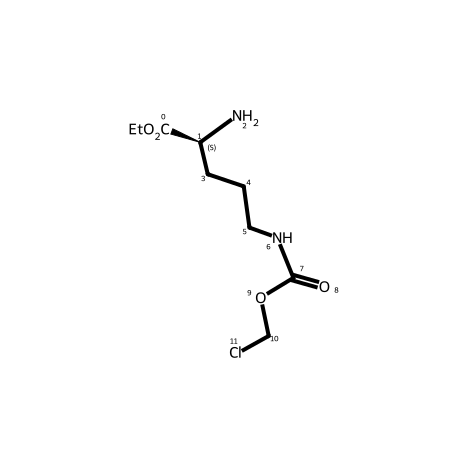 CCOC(=O)[C@@H](N)CCCNC(=O)OCCl